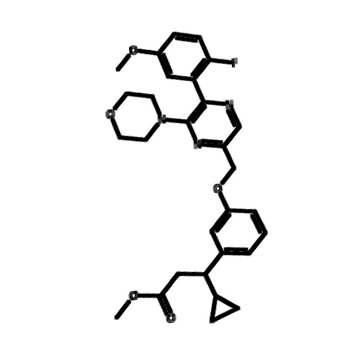 COC(=O)CC(c1cccc(OCc2cnc(-c3cc(OC)ccc3F)c(N3CCOCC3)n2)c1)C1CC1